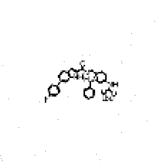 CC(C)(C)OC(=O)NC1=CN(Cc2ccccc2)C(CNC(=O)c2cc3ccc(-c4ccc(F)cc4)cc3[nH]2)CC1